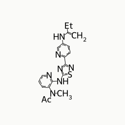 C=C(CC)Nc1ccc(-c2nsc(Nc3ncccc3N(C)C(C)=O)n2)nc1